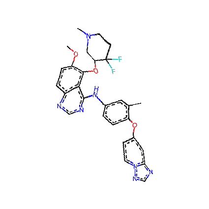 COc1ccc2ncnc(Nc3ccc(Oc4ccn5ncnc5c4)c(C)c3)c2c1OC1CN(C)CCC1(F)F